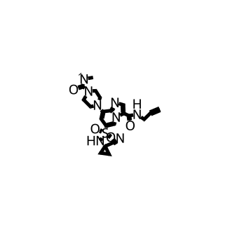 C#CCNC(=O)c1cnc2c(N3CCN(C(=O)N(C)C)CC3)cc(S(=O)(=O)NC3(C#N)CC3)cn12